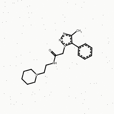 Cc1nnn(CC(=O)NCCN2CCCCC2)c1-c1ccccc1